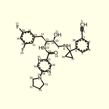 C#Cc1cccc(C2(NC[C@H](O)[C@H](Cc3cc(F)cc(F)c3)NC(=O)c3cnc(N4CCCC4)cn3)CC2)c1